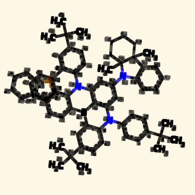 CC(C)(C)c1ccc(N2c3ccc(C(C)(C)C)cc3B3c4ccc5c(sc6ccccc65)c4N(c4ccc(C(C)(C)C)cc4-c4ccccc4)c4cc(N5c6ccccc6C6(C)CCCCC56C)cc2c43)cc1